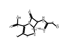 CC1=C(C(=O)O)N2C(=O)C(NC(=O)CCl)[C@H]2SC1